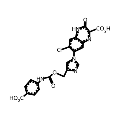 O=C(Nc1ccc(C(=O)O)cc1)OCc1cn(-c2cc3nc(C(=O)O)c(=O)[nH]c3cc2Cl)cn1